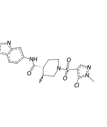 Cn1ncc(S(=O)(=O)N2CC[C@@H](C(=O)Nc3ccc4scnc4c3)[C@H](F)C2)c1Cl